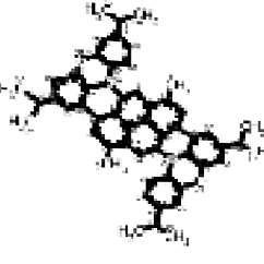 Cc1cc2c3c(cc4c(C)cc5c6c(cc1c3c46)B1c3ccc(C(C)C)cc3Oc3cc(C(C)C)cc-5c31)B1c3ccc(C(C)C)cc3Oc3cc(C(C)C)cc-2c31